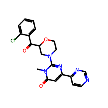 Cn1c(N2CCOC(C(=O)c3ccccc3Cl)C2)nc(-c2ccncn2)cc1=O